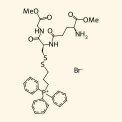 COC(=O)CNC(=O)[C@H](CSSCCC[P+](c1ccccc1)(c1ccccc1)c1ccccc1)NC(=O)CC[C@H](N)C(=O)OC.[Br-]